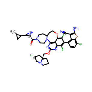 CC1CC1C1N[C@H]1C(=O)N1CCC2CCOc3c(Cl)c(-c4ccc(F)c5sc(N)c(C#N)c45)c(F)c4nc(OC[C@@]56CCCN5C[C@H](F)C6)nc(c34)N2CC1